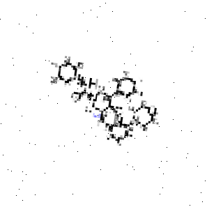 O=C1/C(=C\c2cccc(N3CCOCC3)n2)CN(C(=O)Nc2ccccc2)CC1c1ccccc1